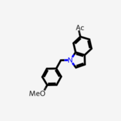 COc1ccc(Cn2ccc3ccc(C(C)=O)cc32)cc1